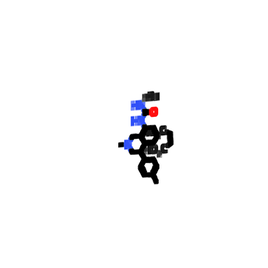 CCCCNC(=O)Nc1cccc2c1CN(C)CC2c1ccc(C)cc1.O=C(O)/C=C\C(=O)O